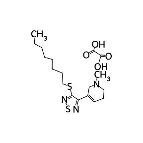 CCCCCCCCSc1nsnc1C1=CCCN(C)C1.O=C(O)C(=O)O